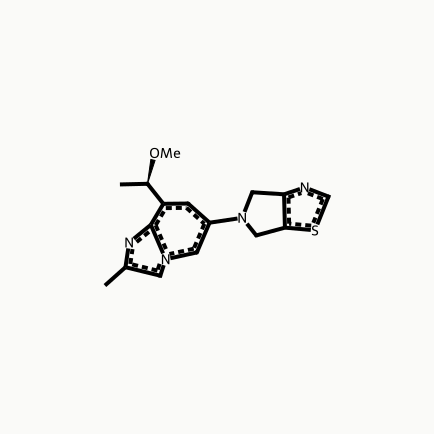 CO[C@H](C)c1cc(N2Cc3ncsc3C2)cn2cc(C)nc12